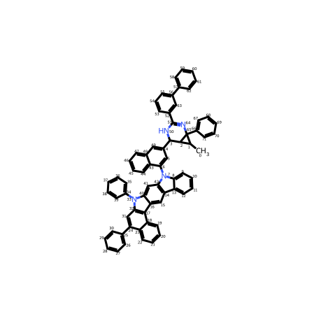 CC1C2C(c3cc(-n4c5ccccc5c5cc6c7c8ccccc8c(-c8ccccc8)cc7n(-c7ccccc7)c6cc54)c4ccccc4c3)NC(c3cccc(-c4ccccc4)c3)=NC12c1ccccc1